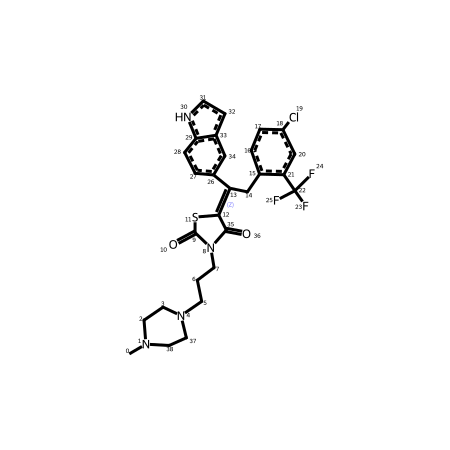 CN1CCN(CCCN2C(=O)S/C(=C(/Cc3ccc(Cl)cc3C(F)(F)F)c3ccc4[nH]ccc4c3)C2=O)CC1